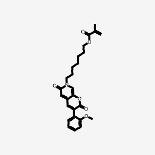 C=C(C)C(=O)OCCCCCCCn1cc2oc(=O)c(-c3ccccc3OC)cc2cc1=O